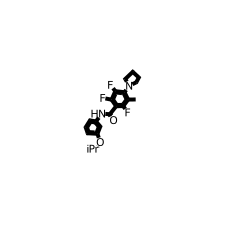 Cc1c(F)c(C(=O)Nc2cccc(OC(C)C)c2)c(F)c(F)c1N1CCCC1